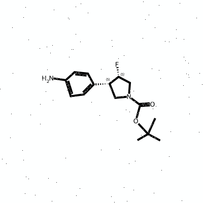 CC(C)(C)OC(=O)N1C[C@@H](F)[C@@H](c2ccc(N)cc2)C1